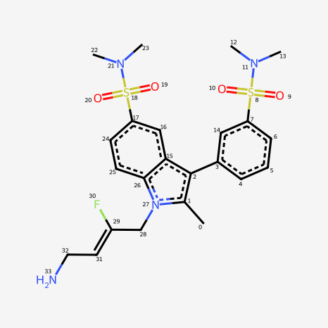 Cc1c(-c2cccc(S(=O)(=O)N(C)C)c2)c2cc(S(=O)(=O)N(C)C)ccc2n1C/C(F)=C/CN